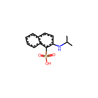 CC(C)Nc1ccc2ccccc2c1S(=O)(=O)O